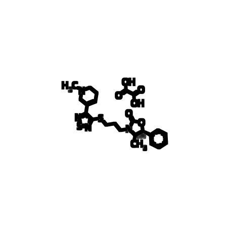 C[C@@H]1[C@H](c2ccccc2)OC(=O)N1CCCSc1nsnc1C1=CCCN(C)C1.O=C(O)C(=O)O